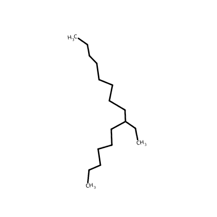 CCCCCCCCC(CC)CCCCCC